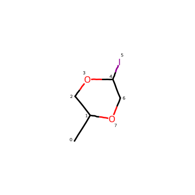 CC1COC(I)CO1